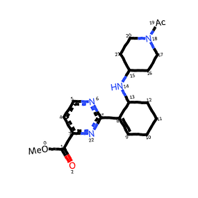 COC(=O)c1ccnc(C2=CCCCC2NC2CCN(C(C)=O)CC2)n1